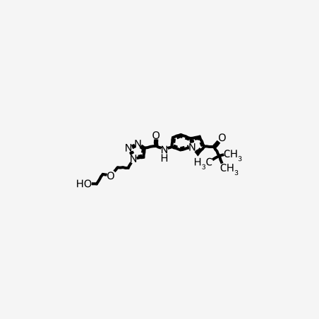 CC(C)(C)C(=O)c1cc2ccc(NC(=O)c3cn(CCOCCO)nn3)cn2c1